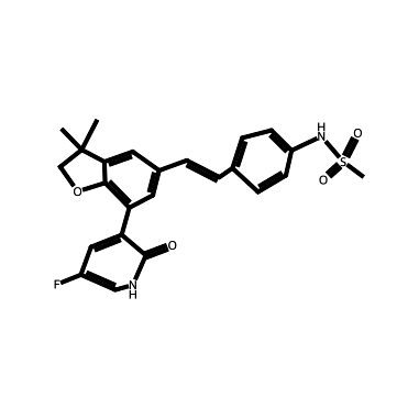 CC1(C)COc2c(-c3cc(F)c[nH]c3=O)cc(/C=C/c3ccc(NS(C)(=O)=O)cc3)cc21